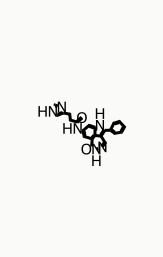 O=C(CCc1c[nH]cn1)Nc1cc2c3c(c(-c4ccccc4)[nH]c3c1)C=NNC2=O